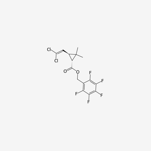 CC1(C)[C@H](C=C(Cl)Cl)[C@H]1C(=O)OCc1c(F)c(F)c(F)c(F)c1F